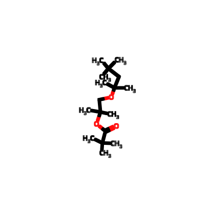 CC(C)(C)CC(C)(C)OCC(C)(C)OC(=O)C(C)(C)C